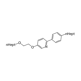 CCCCCCCOCCOc1ccc(-c2ccc(CCCCCCC)cc2)nc1